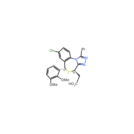 COc1cccc([C@H]2S[C@H](CC(=O)O)c3nnc(C(C)C)n3-c3ccc(Cl)cc32)c1OC